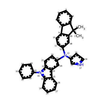 CC1(C)c2ccccc2-c2ccc(N(c3cc[nH]c3)c3ccc4c(c3)c3ccccc3n4-c3ccccc3)cc21